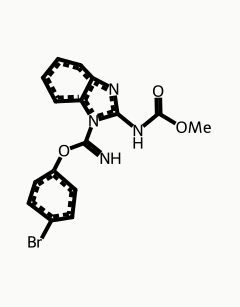 COC(=O)Nc1nc2ccccc2n1C(=N)Oc1ccc(Br)cc1